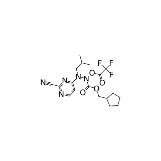 CC(C)CN(c1ccnc(C#N)n1)N(OC(=O)C(F)(F)F)C(=O)OCC1CCCC1